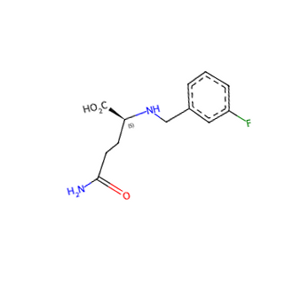 NC(=O)CC[C@H](NCc1cccc(F)c1)C(=O)O